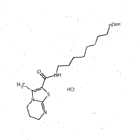 CCCCCCCCCCCCCCCCCCNC(=O)C1=C(C)N2CCCN=C2S1.Cl